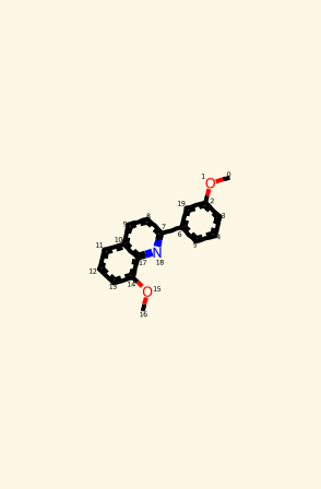 COc1cccc(-c2ccc3cccc(OC)c3n2)c1